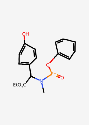 CCOC(=O)C(c1ccc(O)cc1)N(C)[PH](=O)Oc1ccccc1